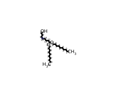 CCCCCCCCCCOC(CCC/C=C\CCO)OCCCCCCCCCC